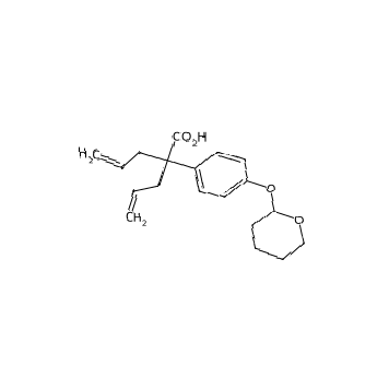 C=CCC(CC=C)(C(=O)O)c1ccc(OC2CCCCO2)cc1